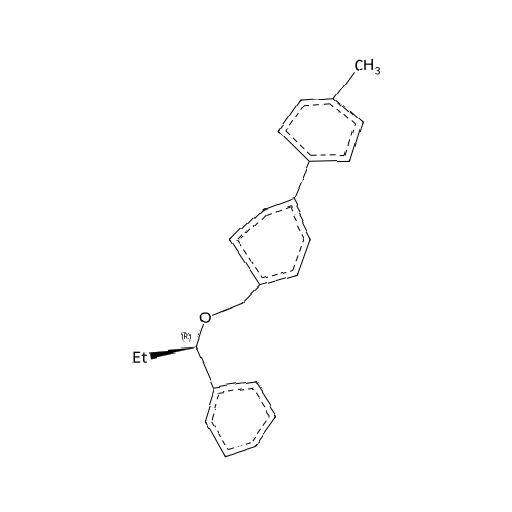 CC[C@@H](OCc1ccc(-c2ccc(C)cc2)cc1)c1ccccc1